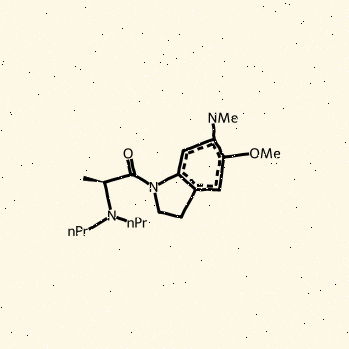 CCCN(CCC)[C@@H](C)C(=O)N1CCc2cc(OC)c(NC)cc21